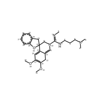 CN=C(NCCCN(C)C)N1C=C2CC(OC)=C(OC)C=C2C2(Cc3ccccc3O2)C1